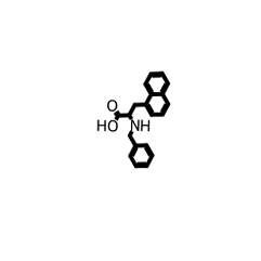 O=C(O)C(Cc1cccc2ccccc12)NCc1ccccc1